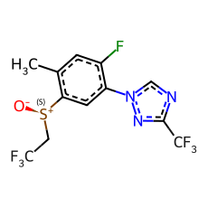 Cc1cc(F)c(-n2cnc(C(F)(F)F)n2)cc1[S@+]([O-])CC(F)(F)F